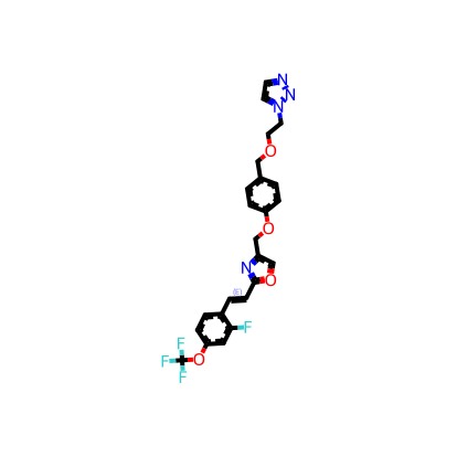 Fc1cc(OC(F)(F)F)ccc1/C=C/c1nc(COc2ccc(COCCn3ccnn3)cc2)co1